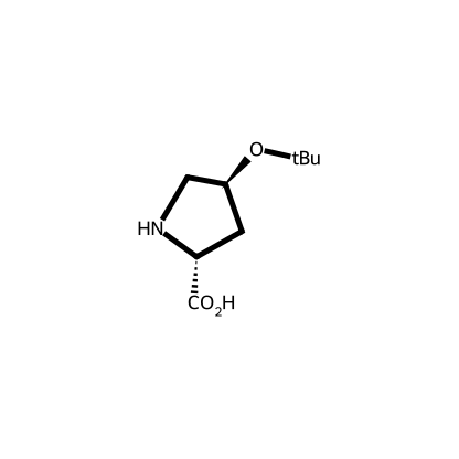 CC(C)(C)O[C@@H]1CN[C@@H](C(=O)O)C1